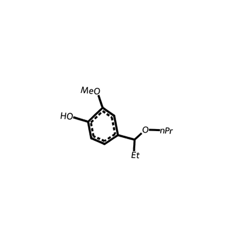 CCCOC(CC)c1ccc(O)c(OC)c1